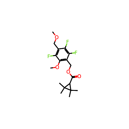 COCc1c(F)c(F)c(COC(=O)C2C(C)(C)C2(C)C)c(OC)c1F